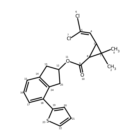 CC1(C)C(C=C(Cl)Cl)C1C(=O)OC1Cc2cccc(-c3cccs3)c2C1